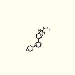 Nc1nc2ccc(C3=CN(C4CCOCC4)CC=C3)cn2n1